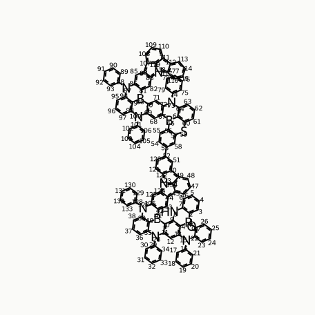 O=P12c3ccccc3Nc3c4c(cc(c31)N(c1ccccc1)c1ccccc12)N(c1ccccc1)c1cccc2c1B4c1cc3c4cccc5c6cc(-c7ccc8c(c7)Sc7cccc9c7B8c7cc8c(cc7N9c7ccccc7)B7c9cc%10c(cc9N(c9ccccc9)c9cccc(c97)N8c7ccccc7)c7cccc8c9ccccc9n%10c87)ccc6n(c3cc1N2c1ccccc1)c54